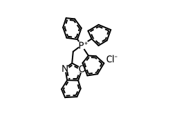 [Cl-].c1ccc([P+](Cc2nc3ccccc3o2)(c2ccccc2)c2ccccc2)cc1